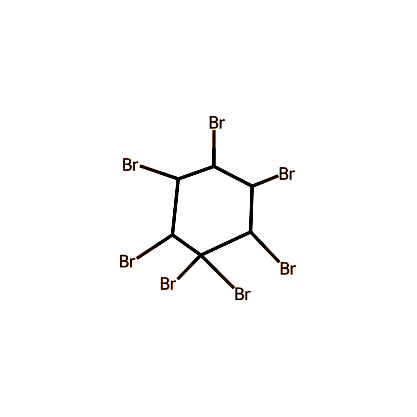 BrC1C(Br)C(Br)C(Br)(Br)C(Br)C1Br